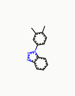 Cc1ccc(-n2nnc3ccccc32)cc1C